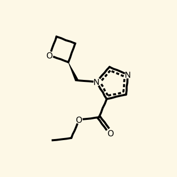 CCOC(=O)c1cncn1C[C@@H]1CCO1